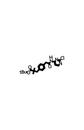 CC(C)(C)OC(=O)C(C)(C)Cc1ccc(CC(=O)Nc2ccnc(Cl)n2)cc1